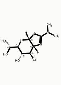 C[C@@H](O)[C@H]1O[C@@H]2SC(N(C)C)=N[C@@H]2[C@@H](O)[C@@H]1O